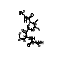 C=C(/N=C(/C)N(C)CC(=O)NC(C)C)/C(C)=C(/C=C\C)NC(=O)C1CN1